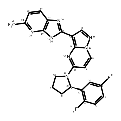 Fc1ccc(F)c([C@H]2CCCN2c2ccn3ncc(-c4nc5ccc(C(F)(F)F)nc5[nH]4)c3n2)c1